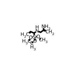 C=CC(NCC(=C)N)[Si](OC)(OC)OC